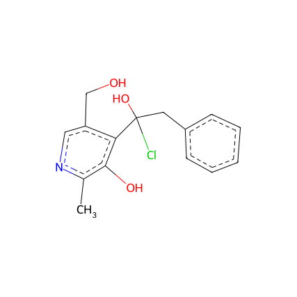 Cc1ncc(CO)c(C(O)(Cl)Cc2ccccc2)c1O